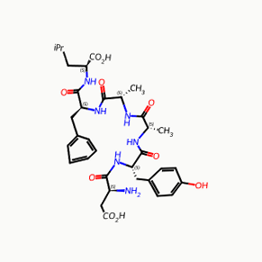 CC(C)C[C@H](NC(=O)[C@H](Cc1ccccc1)NC(=O)[C@H](C)NC(=O)[C@H](C)NC(=O)[C@H](Cc1ccc(O)cc1)NC(=O)[C@@H](N)CC(=O)O)C(=O)O